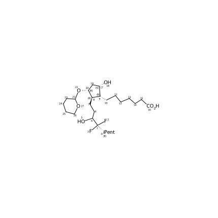 CCC[C@@H](C)C(F)(F)C(O)CC[C@@H]1[C@@H](CCCCCCC(=O)O)[C@@H](O)C[C@H]1OC1CCCCO1